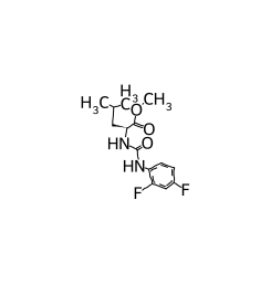 COC(=O)[C@H](CC(C)C)NC(=O)Nc1ccc(F)cc1F